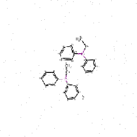 CCP(c1ccccc1)c1ccccc1.CCP(c1ccccc1)c1ccccc1.[Ni]